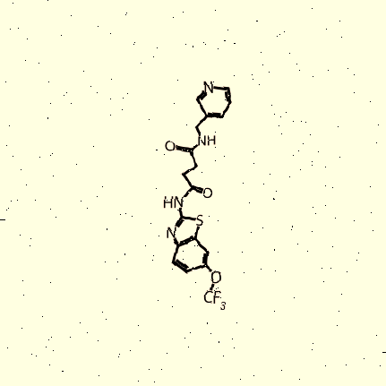 O=C(CCC(=O)Nc1nc2ccc(OC(F)(F)F)cc2s1)NCc1cccnc1